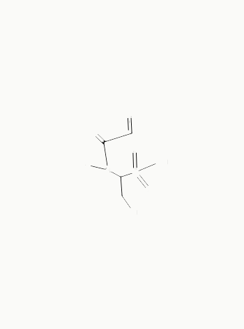 C=CC(=O)N(C)C(CC)S(=O)(=O)O